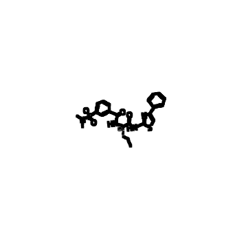 CCC[C@H](NC(=O)c1cccc(S(=O)(=O)N(C)C)c1)C(=O)Nc1nc(-c2ccccc2)cs1